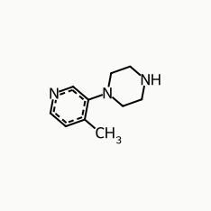 Cc1ccncc1N1CCNCC1